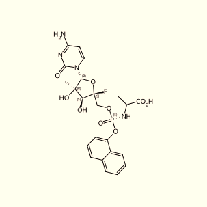 CC(N[P@](=O)(OC[C@@]1(F)O[C@@H](n2ccc(N)nc2=O)[C@](C)(O)[C@@H]1O)Oc1cccc2ccccc12)C(=O)O